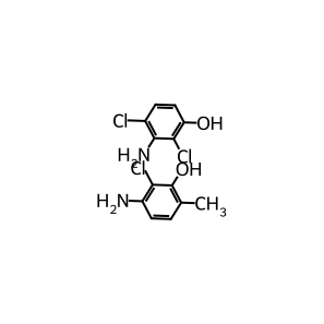 Cc1ccc(N)c(Cl)c1O.Nc1c(Cl)ccc(O)c1Cl